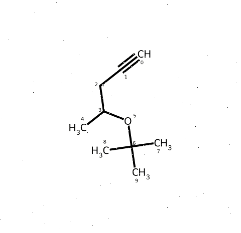 C#C[CH]C(C)OC(C)(C)C